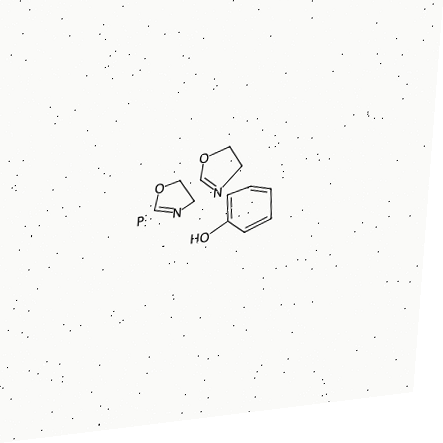 C1=NCCO1.C1=NCCO1.Oc1ccccc1.[P]